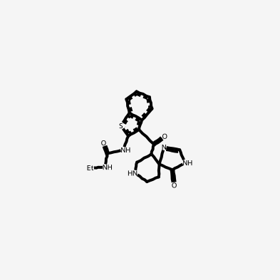 CCNC(=O)Nc1sc2ccccc2c1C(=O)C1CNCCC12N=CNC2=O